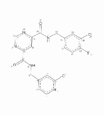 O=C(NCc1ccnc(Cl)c1)c1cc(C(=O)NCc2ccc(F)c(Cl)c2)ncn1